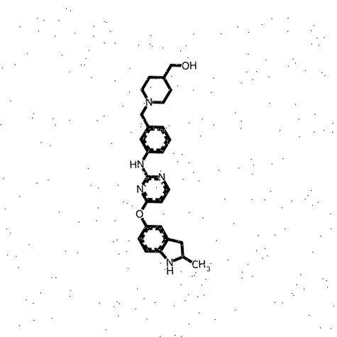 CC1Cc2cc(Oc3ccnc(Nc4cccc(CN5CCC(CO)CC5)c4)n3)ccc2N1